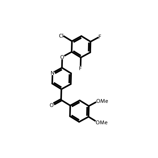 COc1ccc(C(=O)c2ccc(Oc3c(F)cc(F)cc3Cl)nc2)cc1OC